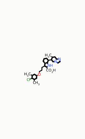 Cc1cc2nccn2cc1-c1cccc2c(CCCOc3cc(C)c(Cl)c(C)c3)c(C(=O)O)[nH]c12